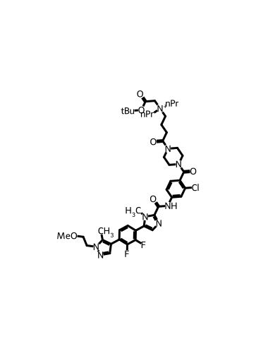 CCC[N+](CCC)(CCCC(=O)N1CCN(C(=O)c2ccc(NC(=O)c3ncc(-c4ccc(-c5cnn(CCOC)c5C)c(F)c4F)n3C)cc2Cl)CC1)CC(=O)OC(C)(C)C